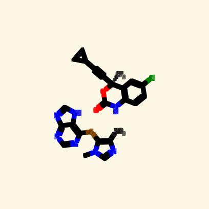 Cn1cnc([N+](=O)[O-])c1Sc1ncnc2nc[nH]c12.O=C1Nc2ccc(Cl)cc2[C@@](C#CC2CC2)(C(F)(F)F)O1